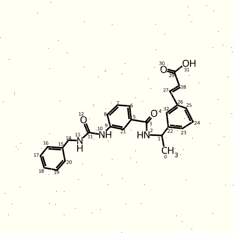 CC(NC(=O)c1cccc(NC(=O)NCc2ccccc2)c1)c1cccc(C=CC(=O)O)c1